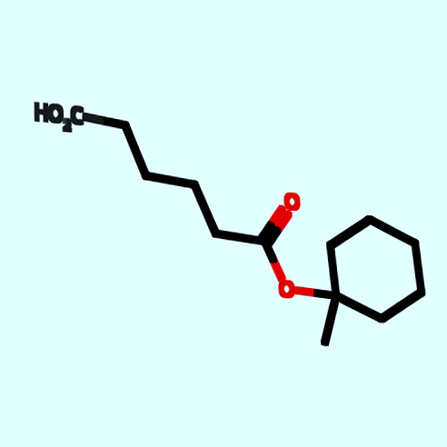 CC1(OC(=O)CCCCC(=O)O)CCCCC1